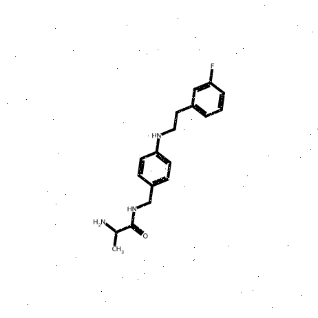 CC(N)C(=O)NCc1ccc(NCCc2cccc(F)c2)cc1